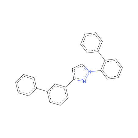 c1ccc(-c2cccc(-c3ccn(-c4ccccc4-c4ccccc4)n3)c2)cc1